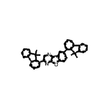 CC1(C)c2ccccc2-c2cccc(-c3ccc4oc5nc(-c6cccc7c6C(C)(C)c6ccccc6-7)cnc5c4c3)c21